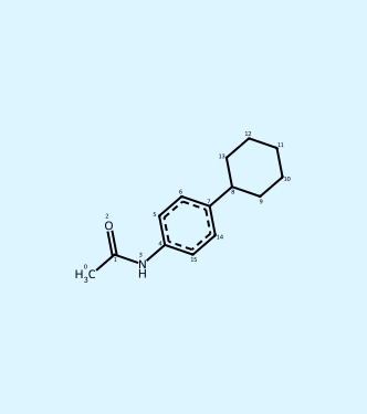 CC(=O)Nc1ccc(C2CCCCC2)cc1